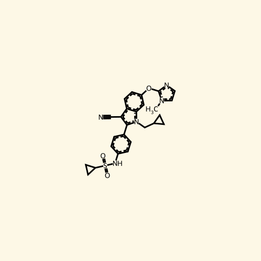 Cn1ccnc1Oc1ccc2c(C#N)c(-c3ccc(NS(=O)(=O)C4CC4)cc3)n(CC3CC3)c2c1